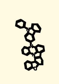 c1ccc(-n2c3ccccc3c3cc(N4c5ccccc5-n5c6c4cccc6c4ccc6oc7ccccc7c6c45)ccc32)cc1